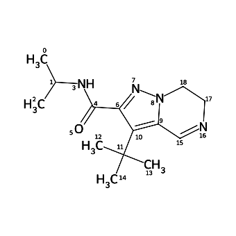 CC(C)NC(=O)c1nn2c(c1C(C)(C)C)C=NCC2